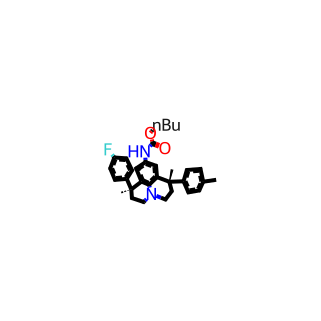 CCCCOC(=O)Nc1cc2c3c(c1)[C@](C)(c1ccc(F)cc1)CCN3CC[C@@]2(C)c1ccc(C)cc1